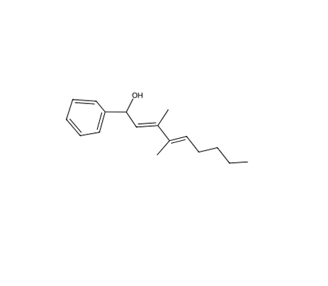 CCCC/C=C(C)/C(C)=C/C(O)c1ccccc1